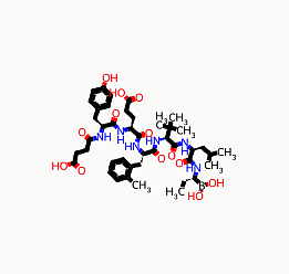 CC[C@H](NC(=O)[C@H](CC(C)C)NC(=O)[C@@H](NC(=O)[C@H](Cc1ccccc1C)NC(=O)[C@H](CCC(=O)O)NC(=O)[C@H](Cc1ccc(O)cc1)NC(=O)CCC(=O)O)C(C)(C)C)B(O)O